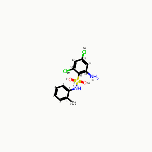 CCc1ccccc1NS(=O)(=O)c1c(N)cc(Cl)cc1Cl